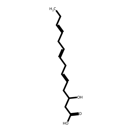 CCC=CCC=CCC=CCC(O)CC(=O)O